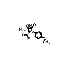 COc1ccc(N2C(=O)[C@](C)(O)[C@@H]2C(F)F)cc1